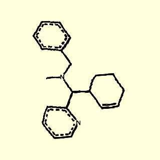 CN(Cc1ccccc1)C(c1ccccn1)C1C=CCCC1